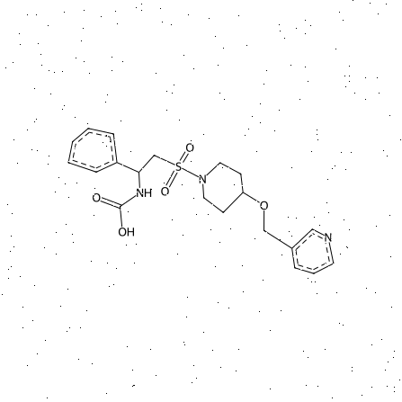 O=C(O)NC(CS(=O)(=O)N1CCC(OCc2cccnc2)CC1)c1ccccc1